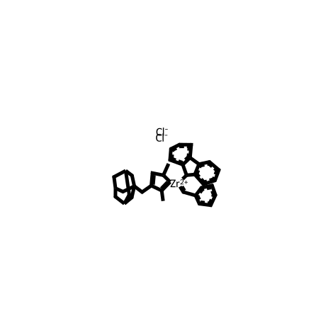 CC1=[C](/[Zr+2](=[CH]/c2ccccc2)[CH]2c3ccccc3-c3ccccc32)C(C)C=C1CC12CC3CC(CC(C3)C1)C2.[Cl-].[Cl-]